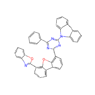 c1ccc(-c2nc(-c3cccc4c3oc3c(-c5nc6ccccc6o5)cccc34)nc(-n3c4ccccc4c4ccccc43)n2)cc1